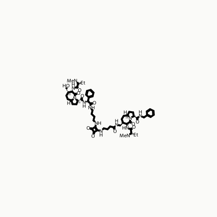 CC[C@H](NC)C(=O)N[C@@H]1C(=O)N2[C@@H](CC[C@@H]1CNC(=O)CCCNc1c(NCCCCNC(=O)[C@@H](NC(=O)[C@@H]3CC[C@@H]4CC[C@H](CO)[C@H](NC(=O)[C@H](CC)NC)C(=O)N43)c3ccccc3)c(=O)c1=O)CC[C@H]2C(=O)NCc1ccccc1